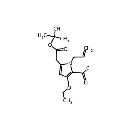 C=CCn1c(CC(=O)OC(C)(C)C)cc(OCC)c1C(=O)Cl